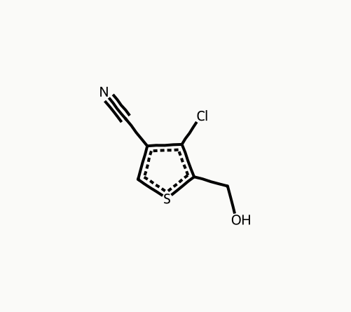 N#Cc1csc(CO)c1Cl